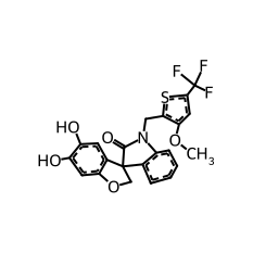 COc1cc(C(F)(F)F)sc1CN1C(=O)C2(COc3cc(O)c(O)cc32)c2ccccc21